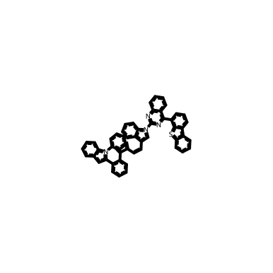 C=C(/C=C\c1cn(-c2nc(-c3cccc4c3sc3ccccc34)c3ccccc3n2)c2ccccc12)C(=C)c1ccccc1-c1cc2ccccc2n1-c1ccccc1